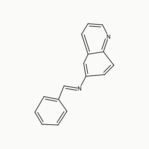 C(=Nc1ccc2ncccc2c1)c1ccccc1